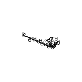 CCC(C)C(=O)OC1CC(C)C=C2C=CC(C)C(CCC3CC(OC(=O)OCCOCCOCCOCCOCCOCCNC(=O)CCCCC4CCSS4)CC(=O)O3)C21